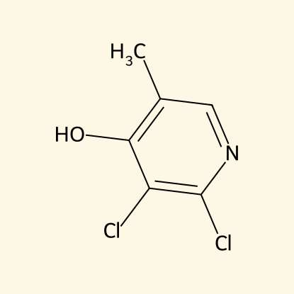 Cc1cnc(Cl)c(Cl)c1O